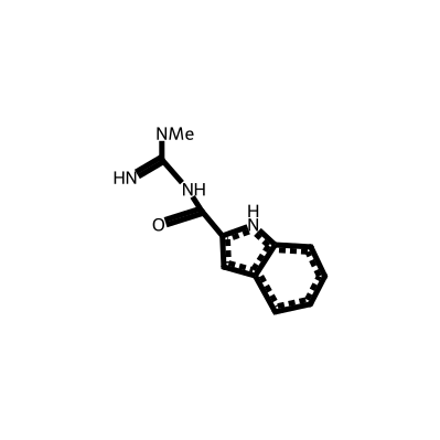 CNC(=N)NC(=O)c1cc2ccccc2[nH]1